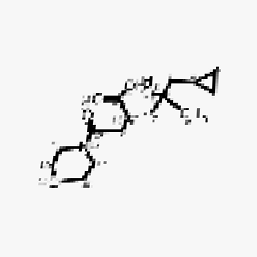 CC(C)(CC1CC1)C[C@H](CC(=O)N1CCOCC1)C(=O)O